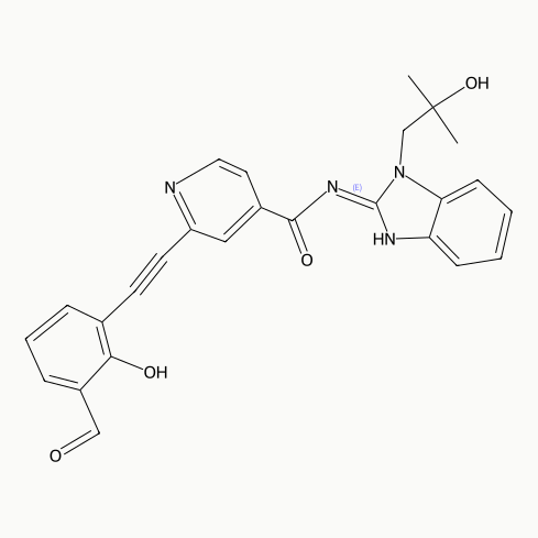 CC(C)(O)Cn1/c(=N/C(=O)c2ccnc(C#Cc3cccc(C=O)c3O)c2)[nH]c2ccccc21